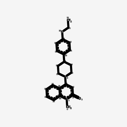 Cn1c(=O)cc(N2CCC(c3ccc(OCC(F)(F)F)cc3)CC2)c2ccccc21